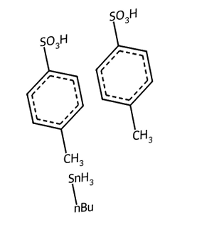 CCC[CH2][SnH3].Cc1ccc(S(=O)(=O)O)cc1.Cc1ccc(S(=O)(=O)O)cc1